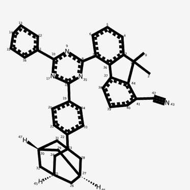 CC1(C)c2cccc(-c3nc(-c4ccccc4)nc(-c4ccc(C56C[C@H]7C[C@H](C5)C[C@@H](C6)C7)cc4)n3)c2-c2cccc(C#N)c21